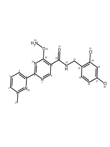 Cc1cccc(-c2ncc(C(=O)NCc3ccc(Cl)cc3Cl)c(ON)n2)n1